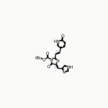 CC(C)(C)OC(=O)N1C(=O)/C(=C/c2c[nH]cn2)N=C1/C=C/c1ccc(=O)[nH]c1